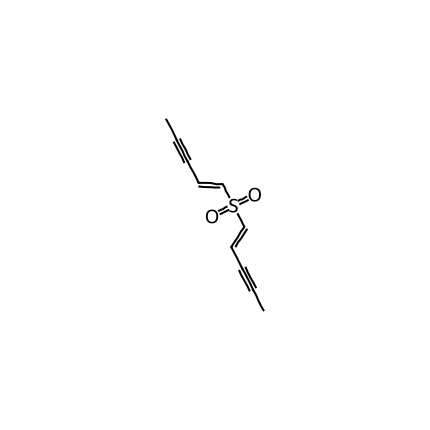 CC#CC=CS(=O)(=O)C=CC#CC